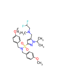 COc1ccc(CN(Cc2ccc(OC)cc2)S(=O)(=O)c2cc(CN(C)CC(F)F)n(C(C)C)n2)cc1